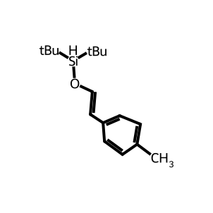 Cc1ccc(C=CO[SiH](C(C)(C)C)C(C)(C)C)cc1